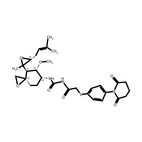 CO[C@H]1[C@H](C2(C)O[C@@H]2CC=C(C)C)[C@]2(CC[C@H]1NC(=O)NC(=O)CSc1ccc(N3C(=O)CCCC3=O)cc1)CO2